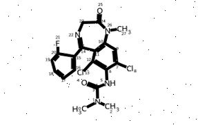 CN(C)C(=O)Nc1c(Cl)cc2c(c1Cl)C(c1ccccc1F)=NCC(=O)N2C